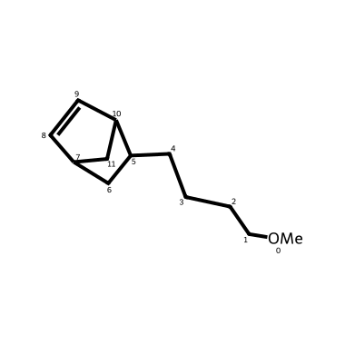 COCCCCC1CC2C=CC1C2